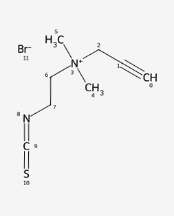 C#CC[N+](C)(C)CCN=C=S.[Br-]